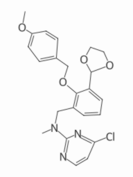 COc1ccc(COc2c(CN(C)c3nccc(Cl)n3)cccc2C2OCCO2)cc1